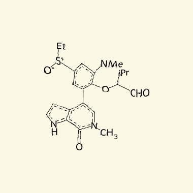 CC[S+]([O-])c1cc(NC)c(OC(C=O)C(C)C)c(-c2cn(C)c(=O)c3[nH]ccc23)c1